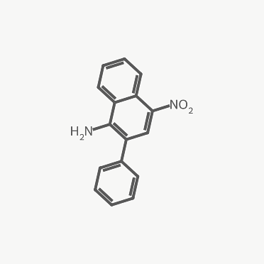 Nc1c(-c2ccccc2)cc([N+](=O)[O-])c2ccccc12